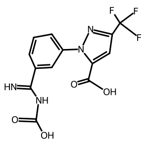 N=C(NC(=O)O)c1cccc(-n2nc(C(F)(F)F)cc2C(=O)O)c1